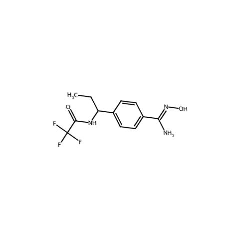 CCC(NC(=O)C(F)(F)F)c1ccc(C(N)=NO)cc1